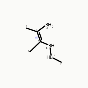 B/C(C)=C(/C)BBC